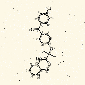 CC(C)(Oc1ccc(C(=O)c2ccc(Cl)cc2)cc1)C(=O)Nc1cccnc1Br